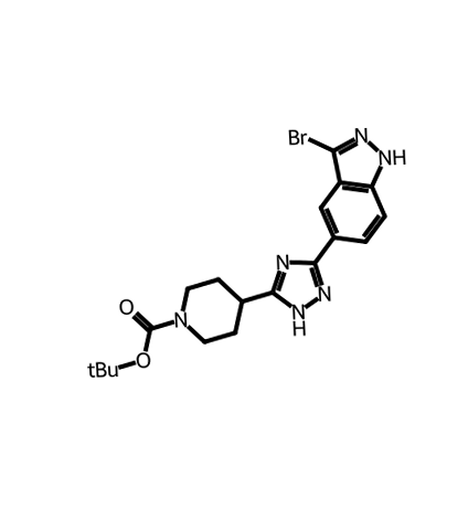 CC(C)(C)OC(=O)N1CCC(c2nc(-c3ccc4[nH]nc(Br)c4c3)n[nH]2)CC1